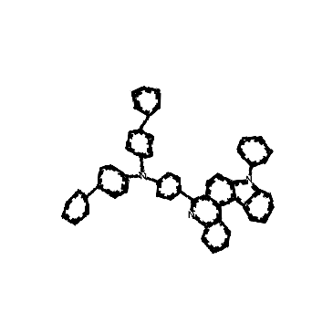 c1ccc(-c2ccc(N(c3ccc(-c4ccccc4)cc3)c3ccc(-c4nc5ccccc5c5c4ccc4c5c5ccccc5n4-c4ccccc4)cc3)cc2)cc1